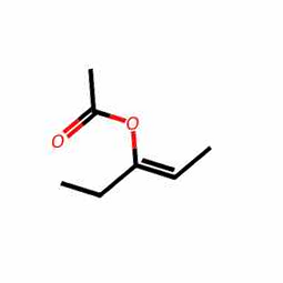 CC=C(CC)OC(C)=O